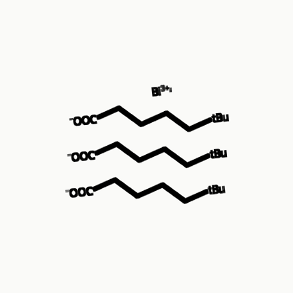 CC(C)(C)CCCCC(=O)[O-].CC(C)(C)CCCCC(=O)[O-].CC(C)(C)CCCCC(=O)[O-].[Bi+3]